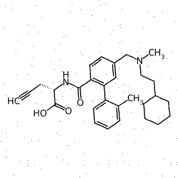 C#CC[C@H](NC(=O)c1ccc(CN(C)CCC2CCCCC2)cc1-c1ccccc1C)C(=O)O